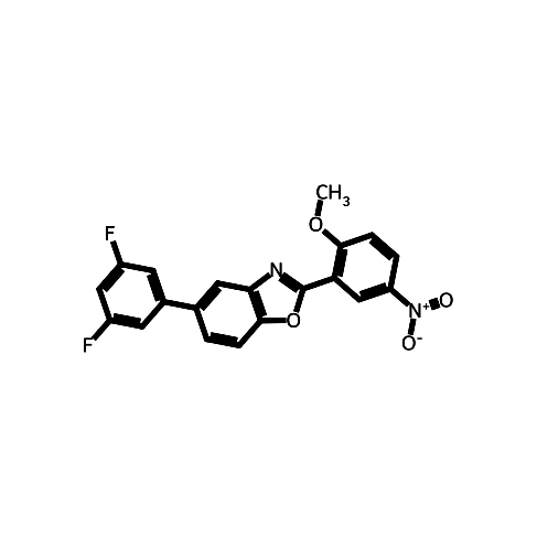 COc1ccc([N+](=O)[O-])cc1-c1nc2cc(-c3cc(F)cc(F)c3)ccc2o1